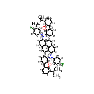 CC(C)c1cccc2c1oc1c(N(c3ccc(F)cc3)c3ccc4ccc5c(N(c6ccc(F)cc6)c6cccc7c6oc6c(C(C)C)cccc67)ccc6ccc3c4c65)cccc12